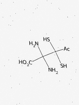 CC(=O)C(S)(S)C(N)(N)C(=O)O